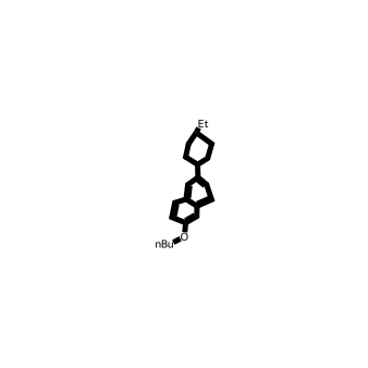 CCCCOc1ccc2cc(C3CCC(CC)CC3)ccc2c1